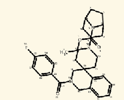 CCOC(=O)N1C2CCC1CC(N1CCC3(CC1)CN(C(=O)c1ccc(F)cc1)Cc1ccccc13)C2